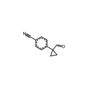 N#Cc1ccc(C2(C=O)CC2)cc1